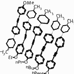 CCCCCOc1ccc(C#Cc2ccc([C@H]3CC[C@H](C)CC3)cc2)cc1.CCCCOc1ccc(C#Cc2ccc([C@H]3CC[C@H](C)CC3)cc2)cc1.CCCOc1ccc(C#Cc2ccc([C@H]3CC[C@H](C)CC3)cc2)cc1.CCOc1ccc(C#Cc2ccc([C@H]3CC[C@H](C)CC3)cc2)cc1.COc1ccc(C#Cc2ccc([C@H]3CC[C@H](C)CC3)cc2)cc1